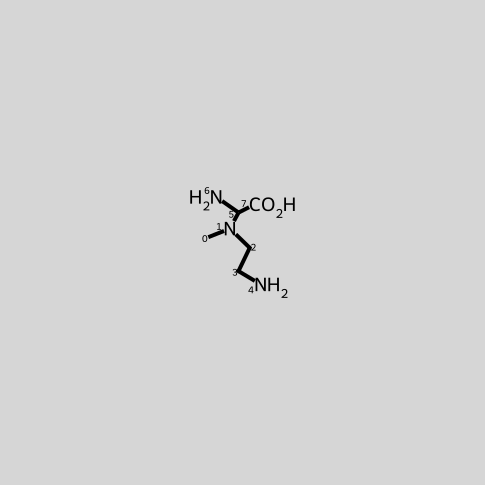 CN(CCN)C(N)C(=O)O